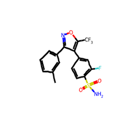 Cc1cccc(-c2noc(C(F)(F)F)c2-c2ccc(S(N)(=O)=O)c(F)c2)c1